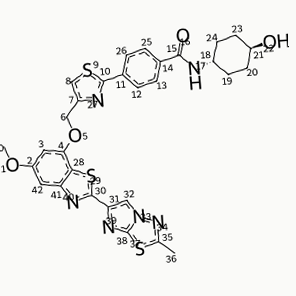 COc1cc(OCc2csc(-c3ccc(C(=O)N[C@H]4CC[C@H](O)CC4)cc3)n2)c2sc(-c3cn4nc(C)sc4n3)nc2c1